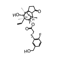 C=C[C@]1(C)C[C@@H](OC(=O)CSc2cc(CO)ccc2F)[C@]2(C)C(C)CCC3(CCC(=O)C32)[C@@H](C)[C@@H]1O